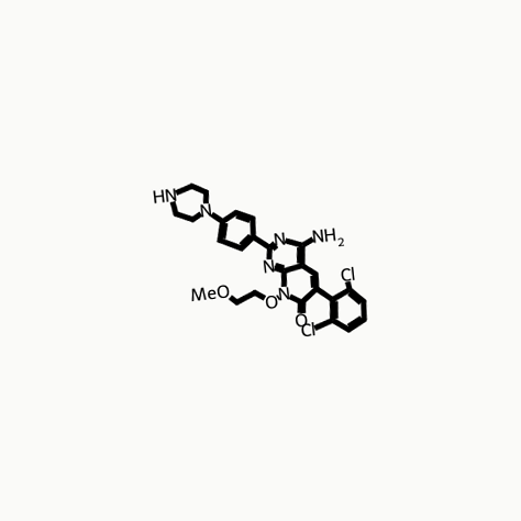 COCCOn1c(=O)c(-c2c(Cl)cccc2Cl)cc2c(N)nc(-c3ccc(N4CCNCC4)cc3)nc21